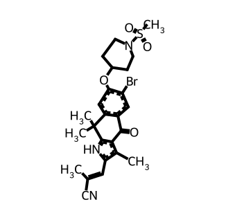 C/C(C#N)=C\c1[nH]c2c(c1C)C(=O)c1cc(Br)c(OC3CCN(S(C)(=O)=O)CC3)cc1C2(C)C